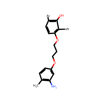 CCCc1c(OCCCOc2ccc(C)c(N)c2)ccc(C(C)=O)c1O